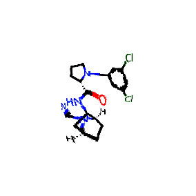 N#CN1[C@H]2CC[C@@H]1[C@H](NC(=O)[C@@H]1CCCN1c1cc(Cl)cc(Cl)c1)C2